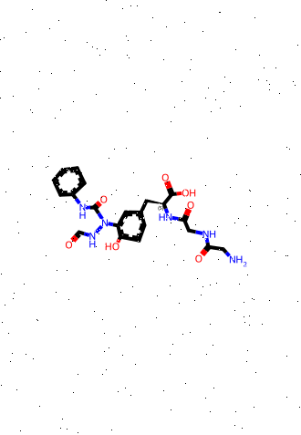 NCC(=O)NCC(=O)N[C@@H](Cc1ccc(O)c(N(NC=O)C(=O)Nc2ccccc2)c1)C(=O)O